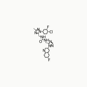 Cc1nc(CNC(=O)NCc2ncnn2-c2cnc3ccc(F)cc3c2)n(-c2ccc(Cl)c(F)c2)n1